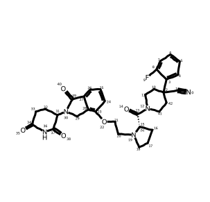 N#CC1(c2ccccc2F)CCN(C(=O)[C@@H]2CCCN2CCOc2cccc3c2CN(C2CCC(=O)NC2=O)C3=O)CC1